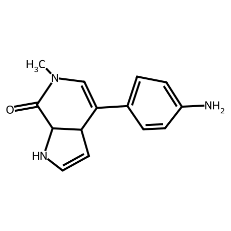 CN1C=C(c2ccc(N)cc2)C2C=CNC2C1=O